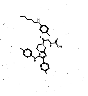 CCCCCNc1ccc(C[C@H](NC(=O)O)C(=O)N2CCn3c(nc(-c4ccc(F)cc4)c3Nc3ccc(C)cc3)C2)cc1